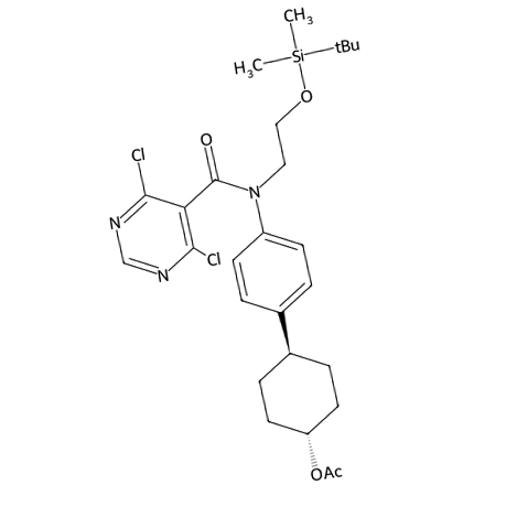 CC(=O)O[C@H]1CC[C@H](c2ccc(N(CCO[Si](C)(C)C(C)(C)C)C(=O)c3c(Cl)ncnc3Cl)cc2)CC1